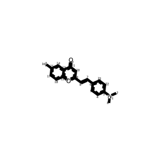 CN(C)c1ccc(/C=C/c2cc(=O)c3cc(I)ccc3o2)cc1